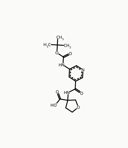 CC(C)(C)OC(=O)Nc1cncc(C(=O)NC2(C(=O)O)CCOC2)c1